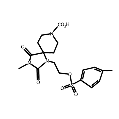 Cc1ccc(S(=O)(=O)OCCN2C(=O)N(C)C(=O)C23CCN(C(=O)O)CC3)cc1